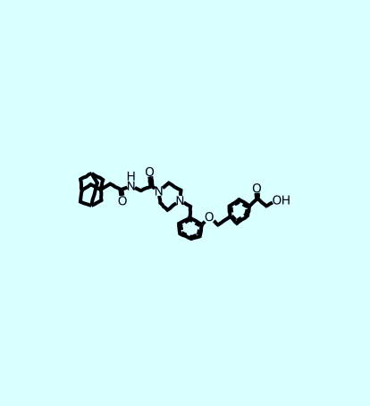 O=C(CC12CC3CC(CC(C3)C1)C2)NCC(=O)N1CCN(Cc2ccccc2OCc2ccc(C(=O)CO)cc2)CC1